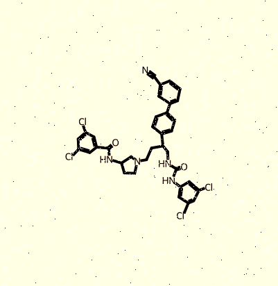 N#Cc1cccc(-c2ccc(C(CCN3CCC(NC(=O)c4cc(Cl)cc(Cl)c4)C3)CNC(=O)Nc3cc(Cl)cc(Cl)c3)cc2)c1